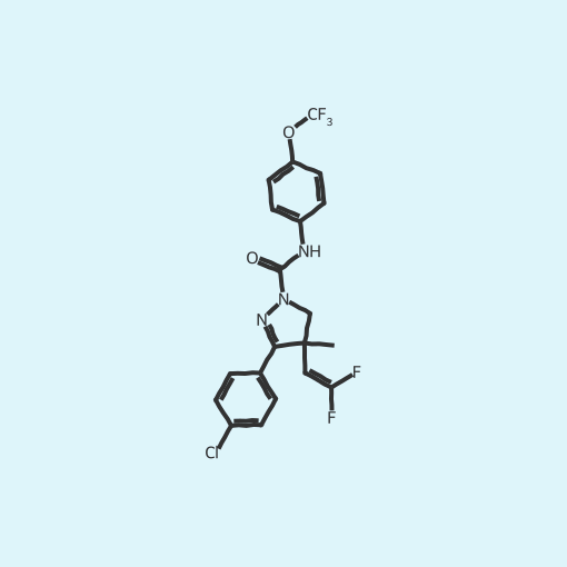 CC1(C=C(F)F)CN(C(=O)Nc2ccc(OC(F)(F)F)cc2)N=C1c1ccc(Cl)cc1